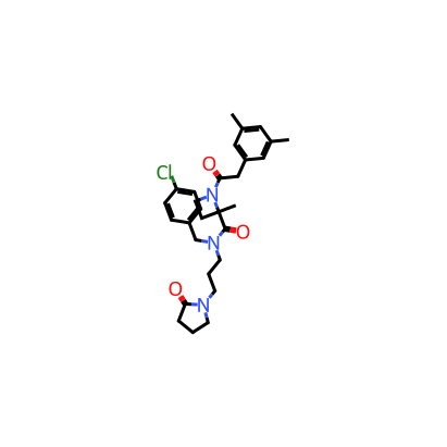 Cc1cc(C)cc(CC(=O)N2CCC2(C)C(=O)N(CCCN2CCCC2=O)Cc2ccc(Cl)cc2)c1